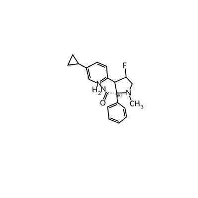 CN1CC(F)C(c2ccc(C3CC3)cn2)[C@]1(C(N)=O)c1ccccc1